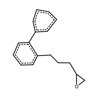 c1ccc(-c2ccccc2CCCC2CO2)cc1